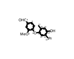 COc1cc(C=O)ccc1Oc1cc(C(C)C)c(O)cc1C